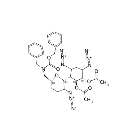 CC(=O)O[C@H]1C(N=[N+]=[N-])CC(N=[N+]=[N-])C([C@H]2O[C@H](CN(Cc3ccccc3)C(=O)OCc3ccccc3)CCC2N=[N+]=[N-])[C@@H]1OC(C)=O